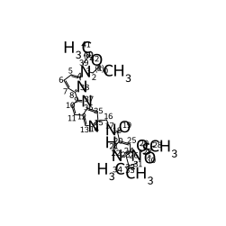 C[C@@H]1CN(c2cccc(-c3ccc4cnc(CNC(=O)c5cnc6c(c5)N(S(C)(=O)=O)CC6(C)C)cc4n3)n2)C[C@H](C)O1